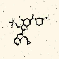 COC1CC(C(=O)N2CCC[C@@H](N)C2)=Cc2nc(-c3cc4cccnc4n3CC3CC3)n(CCS(C)(=O)=O)c21